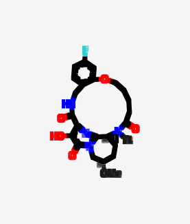 CCN1C(=O)CCCCOc2cc(F)ccc2CNC(=O)c2nc3n(c(=O)c2O)C[C@@H](OC)CC[C@H]31